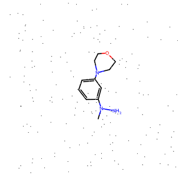 CN(N)c1cccc(N2CCOCC2)c1